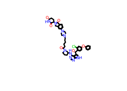 O=C1CCC(N2Cc3cc(N4CCN(CCCCCC(=O)N5CCCC(Nc6ncnc7[nH]cc(C(=O)c8ccc(Oc9ccccc9)cc8Cl)c67)C5)CC4)ccc3C2=O)C(=O)N1